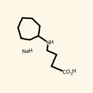 O=C(O)CCCNC1CCCCCC1.[NaH]